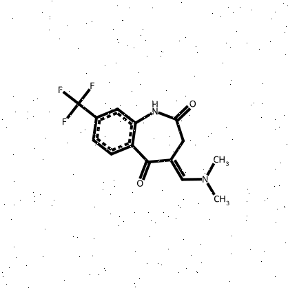 CN(C)/C=C1\CC(=O)Nc2cc(C(F)(F)F)ccc2C1=O